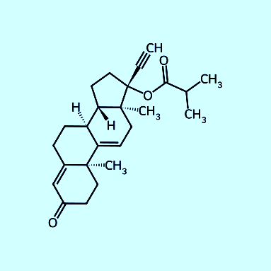 C#C[C@]1(OC(=O)C(C)C)CC[C@H]2[C@@H]3CCC4=CC(=O)CC[C@]4(C)C3=CC[C@@]21C